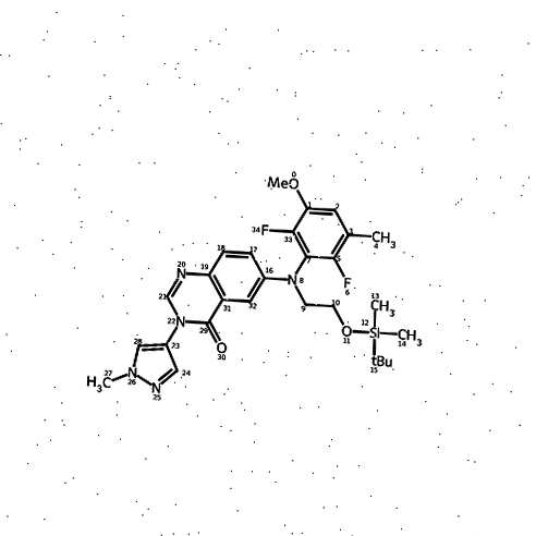 COc1cc(C)c(F)c(N(CCO[Si](C)(C)C(C)(C)C)c2ccc3ncn(-c4cnn(C)c4)c(=O)c3c2)c1F